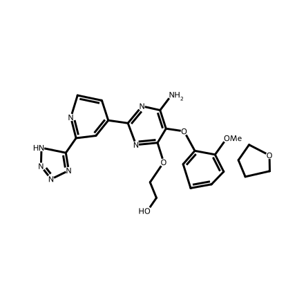 C1CCOC1.COc1ccccc1Oc1c(N)nc(-c2ccnc(-c3nnn[nH]3)c2)nc1OCCO